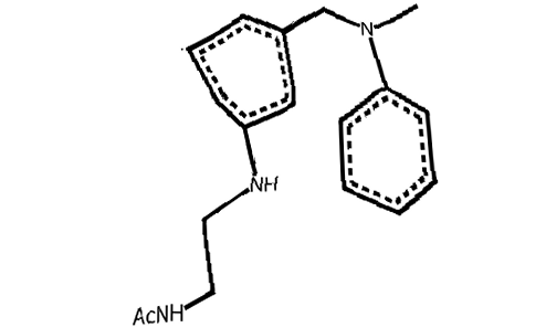 CC(=O)NCCNc1c[c]cc(CN(C)c2ccccc2)c1